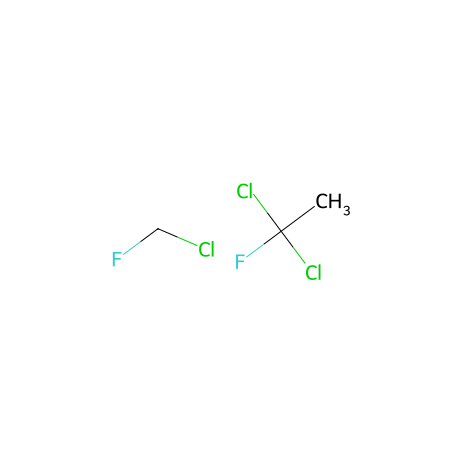 CC(F)(Cl)Cl.FCCl